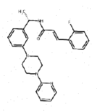 C[C@H](NC(=O)C=Cc1ccccc1F)c1cccc(N2CCN(c3ccccn3)CC2)c1